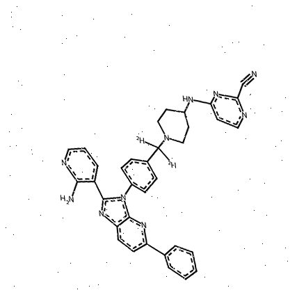 [2H]C([2H])(c1ccc(-n2c(-c3cccnc3N)nc3ccc(-c4ccccc4)nc32)cc1)N1CCC(Nc2ccnc(C#N)n2)CC1